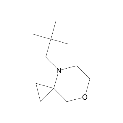 CC(C)(C)CN1CCOCC12CC2